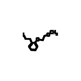 COCCOc1ccccc1CCI